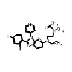 CCN(CCN(C)C(C)=O)c1ccc2nc(-c3ccc(F)cc3F)n(-c3ccncc3)c2n1